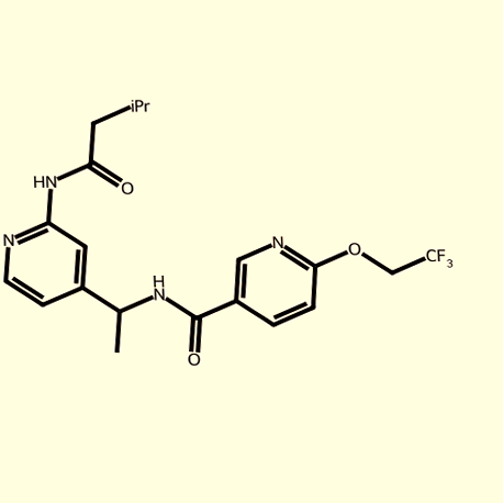 CC(C)CC(=O)Nc1cc(C(C)NC(=O)c2ccc(OCC(F)(F)F)nc2)ccn1